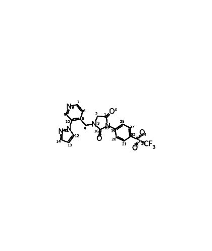 O=C1CN(Cc2ccncc2-n2cccn2)C(=O)N1c1ccc(S(=O)(=O)C(F)(F)F)cc1